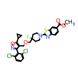 COC(=O)c1ccc2nc(N3CCC(F)(COCc4c(-c5c(Cl)cccc5Cl)noc4C4CC4)CC3)sc2c1